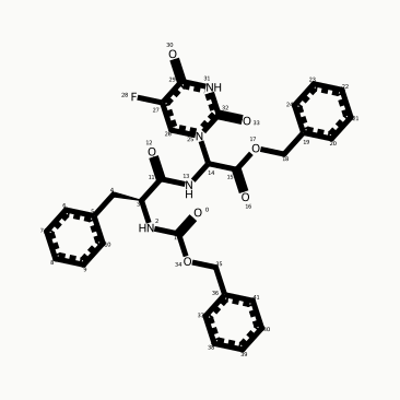 O=C(N[C@@H](Cc1ccccc1)C(=O)NC(C(=O)OCc1ccccc1)n1cc(F)c(=O)[nH]c1=O)OCc1ccccc1